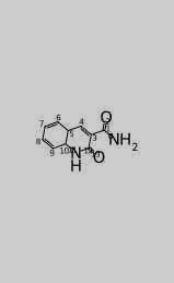 NC(=O)C1=CC2C=CC=CC2NC1=O